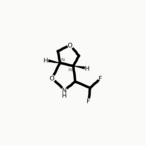 FC(F)C1NO[C@@H]2COC[C@H]12